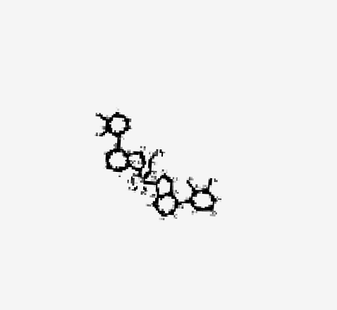 Cc1cccc(-c2cccc3c2C=C[CH]3[Hf]([CH3])([CH3])([CH3])(=[CH]CC(C)C)[CH]2C=Cc3c(-c4cccc(C)c4C)cccc32)c1C